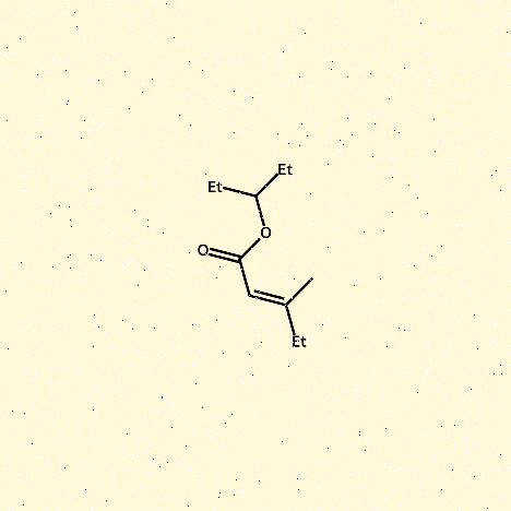 CCC(C)=CC(=O)OC(CC)CC